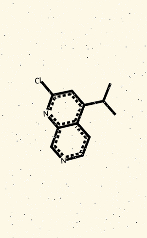 CC(C)c1cc(Cl)nc2cnccc12